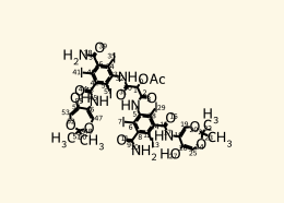 CC(=O)OC(C(=O)Nc1c(I)c(C(N)=O)c(I)c(C(=O)NC2=COC(C)(C)OC=C2O)c1I)C(=O)Nc1c(I)c(C(N)=O)c(I)c(C(=O)NC2=COC(C)(C)OC=C2O)c1I